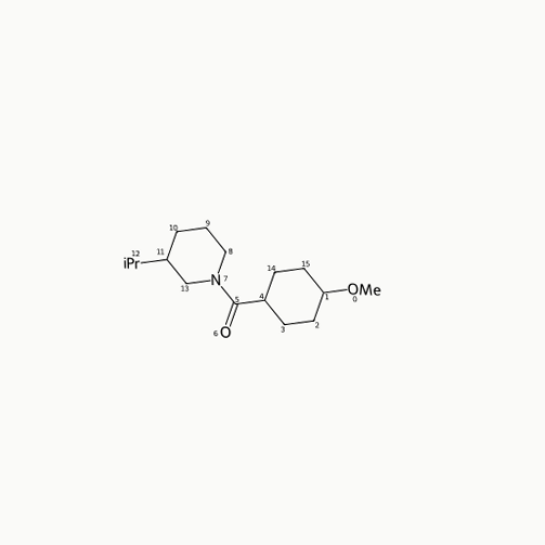 COC1CCC(C(=O)N2CCCC(C(C)C)C2)CC1